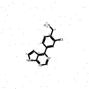 CCc1cc(-c2ncnc3[nH]ccc23)ccc1CN